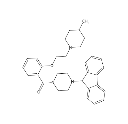 CC1CCN(CCOc2ccccc2C(=O)N2CCN(C3c4ccccc4-c4ccccc43)CC2)CC1